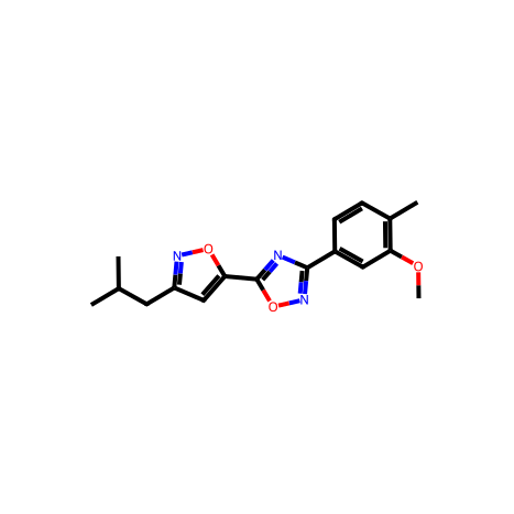 COc1cc(-c2noc(-c3cc(CC(C)C)no3)n2)ccc1C